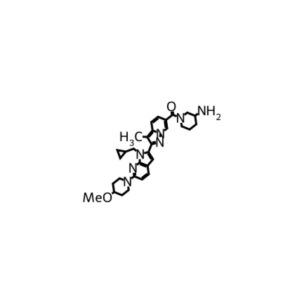 COC1CCN(c2ccc3cc(-c4nn5cc(C(=O)N6CCCC(N)C6)ccc5c4C)n(CC4CC4)c3n2)CC1